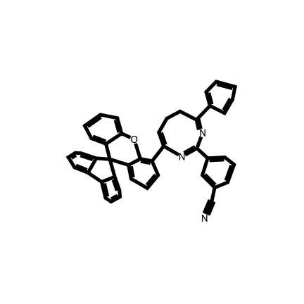 N#Cc1cccc(C2=N/C(c3cccc4c3Oc3ccccc3C43c4ccccc4-c4ccccc43)=C\CC/C(c3ccccc3)=N\2)c1